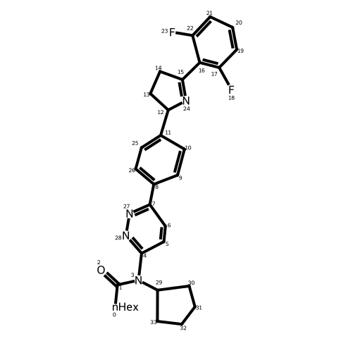 CCCCCCC(=O)N(c1ccc(-c2ccc(C3CCC(c4c(F)cccc4F)=N3)cc2)nn1)C1CCCC1